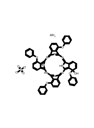 O=S(=O)(Cl)Cl.OC1(Oc2ccccc2)C=CC=c2c1c1[nH]\c2=N/C2=N\C(=N/c3[nH]c(c4cccc(Oc5ccccc5)c34)NC3=N/C(=N\1)c1cccc(Oc4ccccc4)c13)c1cccc(Oc3ccccc3)c12.[AlH3]